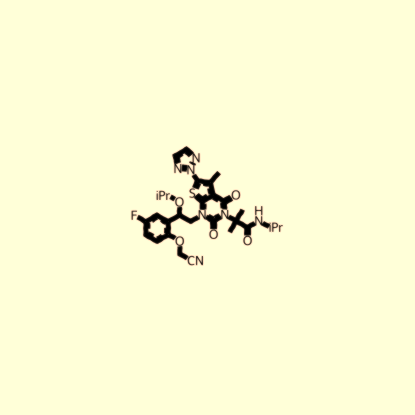 Cc1c(-n2nccn2)sc2c1c(=O)n(C(C)(C)C(=O)NC(C)C)c(=O)n2CC(OC(C)C)c1cc(F)ccc1OCC#N